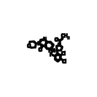 C=CC(=O)N1CC[C@@](Nc2ccc3ncn(C4CCOCC4)c(=O)c3c2)(c2c(F)ccc(Cl)c2Cl)C1